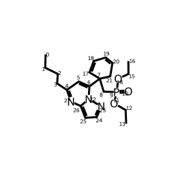 CCCCc1cc(C2(CP(=O)(OCC)OCC)C=CC=CC2)n2nccc2n1